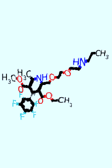 CCCNCCOCCOCC1=C(C(=O)OCC)[C@H](c2c(F)c(F)c(F)c(F)c2F)C(C(=O)OC)=C(C)N1